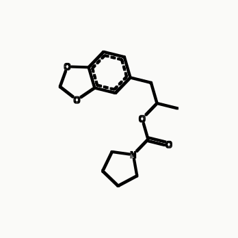 CC(Cc1ccc2c(c1)OCO2)OC(=O)N1CCCC1